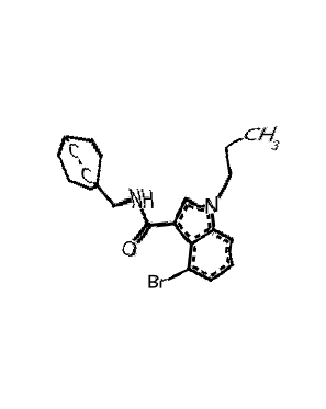 CCCn1cc(C(=O)NCC23CCC(CC2)CC3)c2c(Br)cccc21